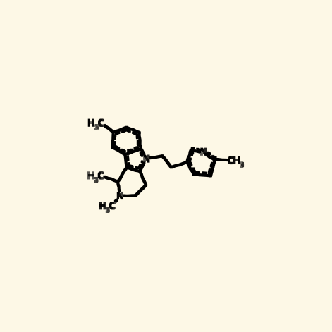 Cc1ccc2c(c1)c1c(n2CCc2ccc(C)nc2)CCN(C)C1C